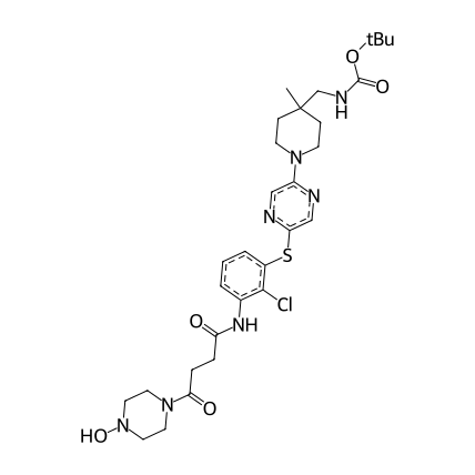 CC1(CNC(=O)OC(C)(C)C)CCN(c2cnc(Sc3cccc(NC(=O)CCC(=O)N4CCN(O)CC4)c3Cl)cn2)CC1